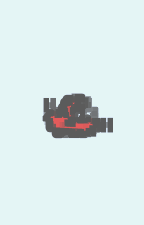 COc1cc2c(cc1OCCCCCOc1cc3c(cc1OC)C(=O)N1CC4(CC4)C[C@H]1C(O)N3C(=O)OCc1ccc(NC(=O)[C@H](C)NC(=O)[C@@H](N)C(C)C)cc1)N=C[C@@H]1CC(CO)=CN1C2=O